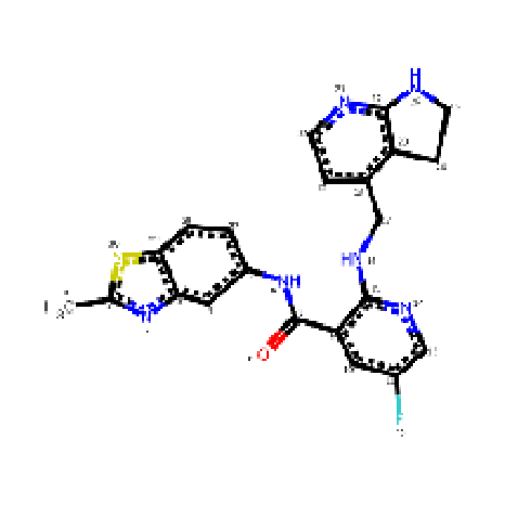 Cc1nc2cc(NC(=O)c3cc(F)cnc3NCc3ccnc4c3CCN4)ccc2s1